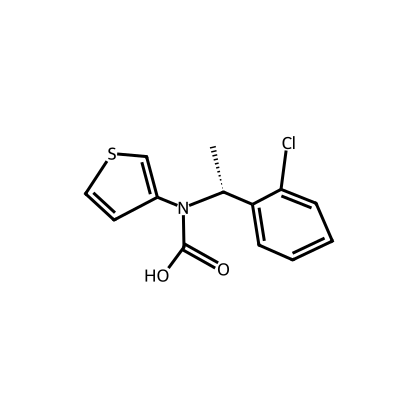 C[C@H](c1ccccc1Cl)N(C(=O)O)c1ccsc1